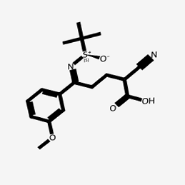 COc1cccc(C(CCC(C#N)C(=O)O)=N[S@+]([O-])C(C)(C)C)c1